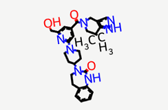 CC1(C)CN(C(=O)c2cc(CO)nc(N3CCC(N4CCc5ccccc5NC4=O)CC3)c2)Cc2cn[nH]c21